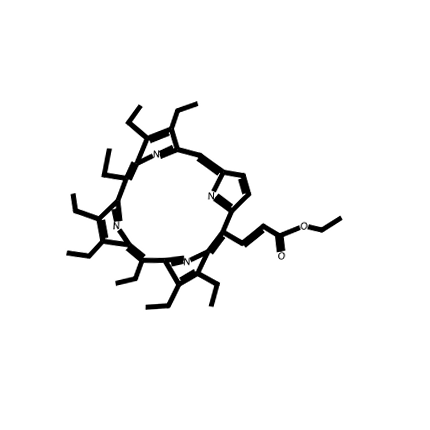 CCOC(=O)C=CC1=C2N=C(C(CC)=C2CC)C(CC)=C2N=C(C(CC)=C2CC)C(CC)=C2N=C(C=C3C=CC1=N3)C(CC)=C2CC